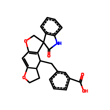 O=C(O)c1cccc(CC2C3=C(C=C4OCCC42)OCC32C(=O)Nc3ccccc32)c1